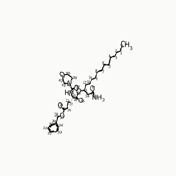 CCCCCCCCCCCCC[C@@H](CC(N)=O)OC(=O)[C@H](CCCC(=O)OCc1ccccc1)NC(=O)N1CCOCC1